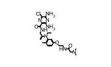 C=C(CNC(=O)c1nc(Cl)c(N)nc1N)N(CC)c1cc(OCCNC(=O)CN(C)C)ccc1C